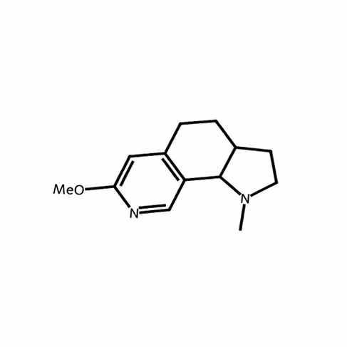 COc1cc2c(cn1)C1C(CC2)CCN1C